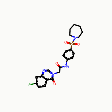 O=C(Cn1cnc2cc(F)ccc2c1=O)Nc1ccc(S(=O)(=O)N2CCCCCC2)cc1